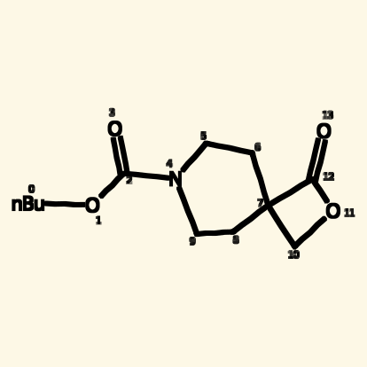 CCCCOC(=O)N1CCC2(CC1)COC2=O